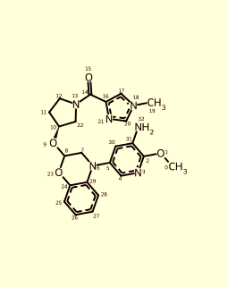 COc1ncc(N2CC(O[C@H]3CCN(C(=O)c4cn(C)cn4)C3)Oc3ccccc32)cc1N